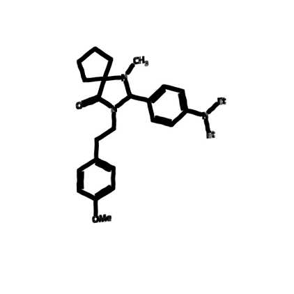 CCN(CC)c1ccc(C2N(CCc3ccc(OC)cc3)C(=O)C3(CCCC3)N2C)cc1